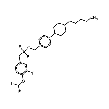 CCCCCC1CCC(c2ccc(COC(F)(F)Cc3ccc(OC(F)F)c(F)c3)cc2)CC1